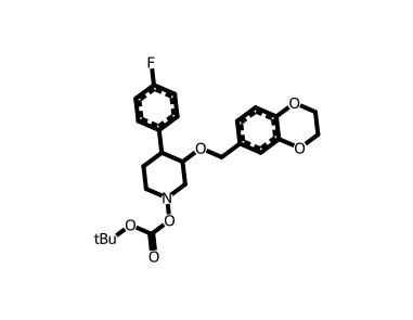 CC(C)(C)OC(=O)ON1CCC(c2ccc(F)cc2)C(OCc2ccc3c(c2)OCCO3)C1